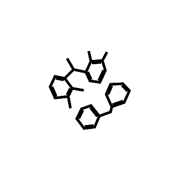 Cc1cccc(C(C)c2cccc(C)c2C)c1C.c1ccc(Cc2ccccc2)cc1